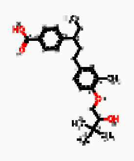 CCC(CCc1ccc(OCC(O)C(C)(C)C)c(C)c1)c1ccc(C(=O)O)cc1